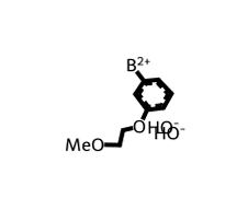 [B+2]c1cccc(OCCOC)c1.[OH-].[OH-]